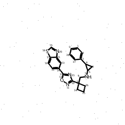 c1ccc(C2CC2NCC2(c3noc(-c4ccc5scnc5c4)n3)CCC2)cc1